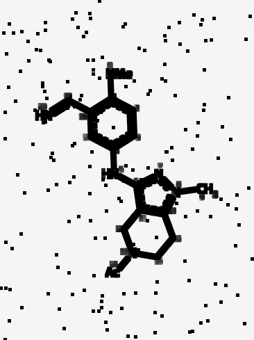 CNc1ccc(Nc2nn(C)c3c2CN(C(C)=O)CC3)cc1C=N